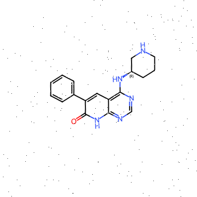 O=c1[nH]c2ncnc(N[C@@H]3CCCNC3)c2cc1-c1ccccc1